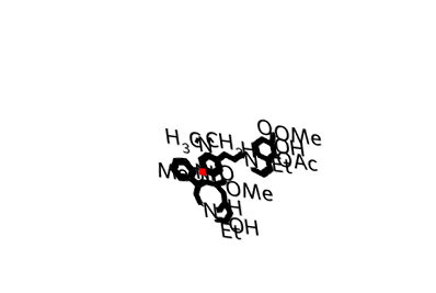 CC[C@]1(O)C[C@@H]2C[N@@](CCc3c([nH]c4ccccc34)[C@@](C(=O)OC)(c3cc(CCCN4CC=C[C@@]5(CC)[C@@H](OC(C)=O)[C@](O)(C(=O)OC)CC[C@@H]45)c(N(C)C)cc3OC)C2)C1